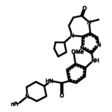 CCCN1CCC(NC(=O)c2ccc(Nc3ncc4c(n3)N(C3CCCC3)CCC(=O)N4C)c(OC)c2)CC1